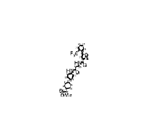 COC(=O)C[C@H]1CC[C@H](c2ccc(NC(=O)CCNC(=O)c3cc(-c4ccccc4C(F)(F)F)on3)cc2)CC1